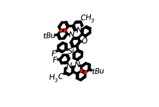 Cc1cnc(N(c2ccc(C(C)(C)C)cc2)c2ccc3c(c2)[Si](c2cccc(F)c2)(c2cccc(F)c2)c2cc(N(c4ccc(C(C)(C)C)cc4)c4ncc(C)cc4-c4ccccc4)c4c(oc5ccccc54)c2-3)c(-c2ccccc2)c1